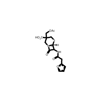 CC(=O)OCC1(C(=O)O)CS[C@@H]2C(NC(=O)Cc3ccco3)C(=O)N2C1